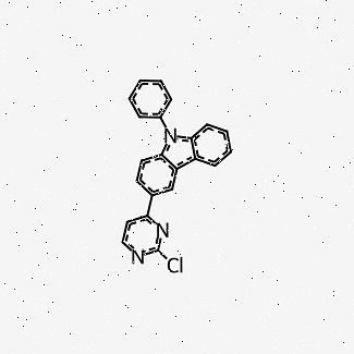 Clc1nccc(-c2ccc3c(c2)c2ccccc2n3-c2ccccc2)n1